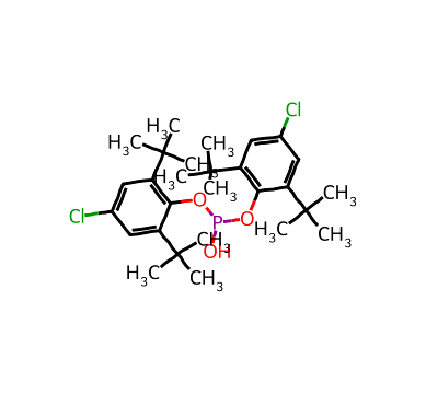 CC(C)(C)c1cc(Cl)cc(C(C)(C)C)c1OP(O)Oc1c(C(C)(C)C)cc(Cl)cc1C(C)(C)C